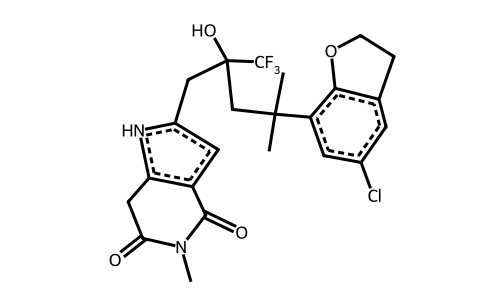 CN1C(=O)Cc2[nH]c(CC(O)(CC(C)(C)c3cc(Cl)cc4c3OCC4)C(F)(F)F)cc2C1=O